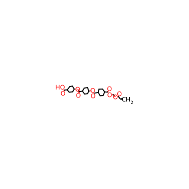 C=CC(=O)OCOC(=O)C1CCC(C(=O)OC2CCC(C(=O)OC3CCC(C(=O)O)CC3)CC2)CC1